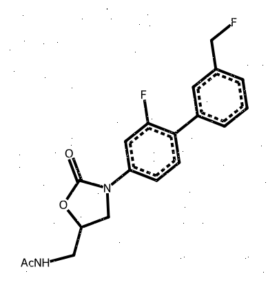 CC(=O)NCC1CN(c2ccc(-c3cccc(CF)c3)c(F)c2)C(=O)O1